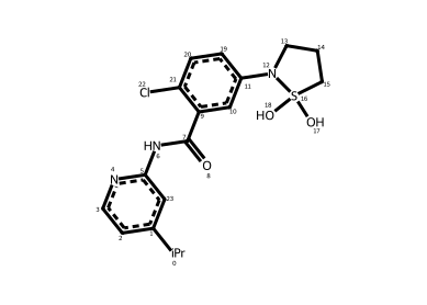 CC(C)c1ccnc(NC(=O)c2cc(N3CCCS3(O)O)ccc2Cl)c1